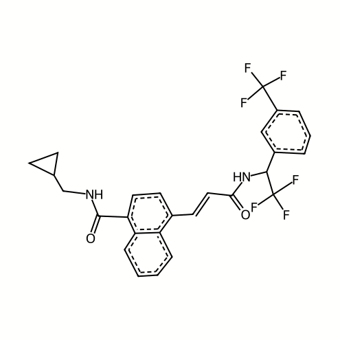 O=C(C=Cc1ccc(C(=O)NCC2CC2)c2ccccc12)NC(c1cccc(C(F)(F)F)c1)C(F)(F)F